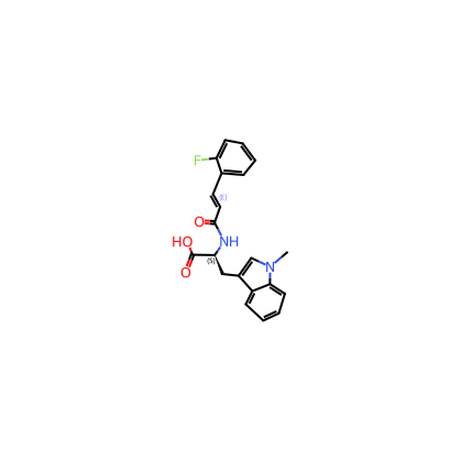 Cn1cc(C[C@H](NC(=O)/C=C/c2ccccc2F)C(=O)O)c2ccccc21